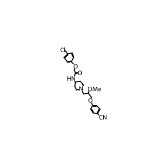 COC(COc1ccc(C#N)cc1)CN1CCC(NC(=O)COc2ccc(Cl)cc2)CC1